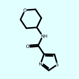 O=C(NC1CCOCC1)c1cscn1